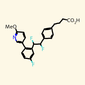 COc1ccc(-c2ccc(F)cc2C(F)C(F)c2ccc(CCCC(=O)O)cc2)cn1